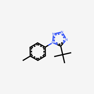 Cc1ccc(-n2nnnc2C(C)(C)C)cc1